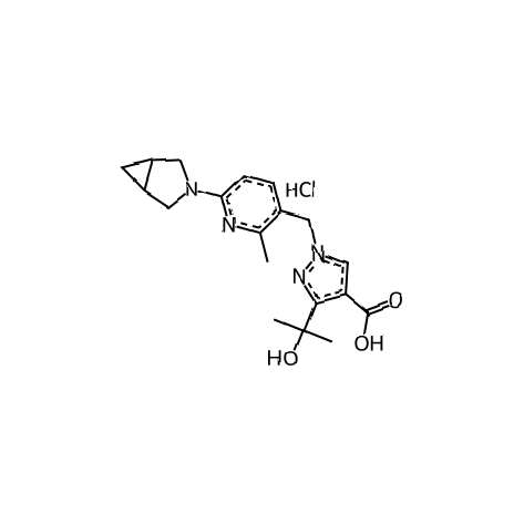 Cc1nc(N2CC3CC3C2)ccc1Cn1cc(C(=O)O)c(C(C)(C)O)n1.Cl